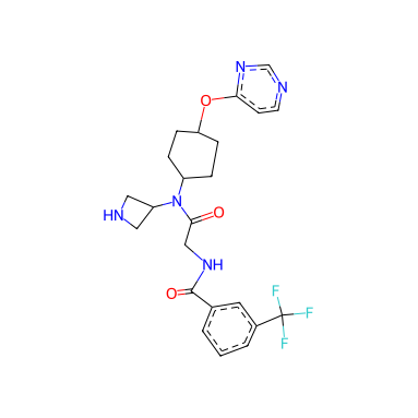 O=C(NCC(=O)N(C1CCC(Oc2ccncn2)CC1)C1CNC1)c1cccc(C(F)(F)F)c1